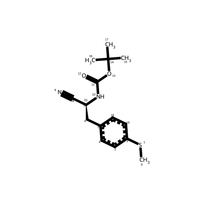 CSc1ccc(C[C@@H](C#N)NC(=O)OC(C)(C)C)cc1